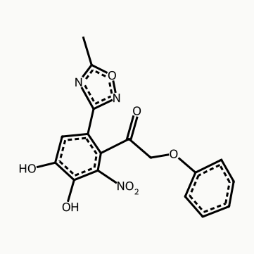 Cc1nc(-c2cc(O)c(O)c([N+](=O)[O-])c2C(=O)COc2ccccc2)no1